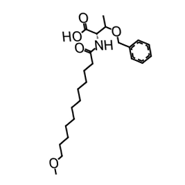 COCCCCCCCCCCCC(=O)N[C@H](C(=O)O)C(C)OCc1ccccc1